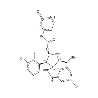 CC(C)(C)C[C@@H]1N[C@H](OC(=O)Nc2cc[nH]c(=O)c2)[C@H](c2cccc(Cl)c2F)[C@]12C(=O)Nc1cc(Cl)ccc12